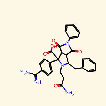 N=C(N)c1ccc(C2(C(=O)O)C3C(=O)N(c4ccccc4)C(=O)C3C(Cc3ccccc3)N2CCC(N)=O)cc1